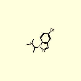 CC(N(C)C)n1ncc2cc(Br)ccc21